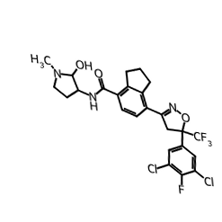 CN1CCC(NC(=O)c2ccc(C3=NOC(c4cc(Cl)c(F)c(Cl)c4)(C(F)(F)F)C3)c3c2CCC3)C1O